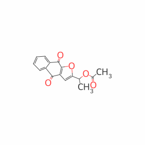 CC(=O)OC(C)c1cc2c(o1)C(=O)c1ccccc1C2=O